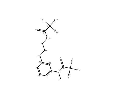 CN(C(=O)C(F)(F)F)c1cccc(CCCOC(=O)C(F)(F)F)c1